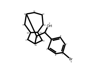 OC(c1ccc(Br)cc1)C1C2CCCC3CC1CC3C2